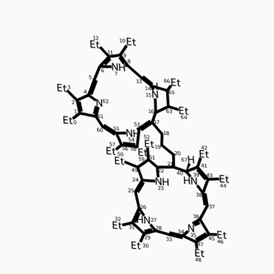 CCC1=C(CC)/C2=C/c3[nH]c(c(CC)c3CC)/C=C3\NC(/C(CCCC4C5N/C(=C\c6[nH]c(c(CC)c6CC)/C=C6N=C(/C=C7\N[C@H]4C(CC)=C7CC)C(CC)=C\6CC)C(CC)C5CC)=c4\[nH]/c(c(CC)c4CC)=C\C1=N2)C(CC)C3CC